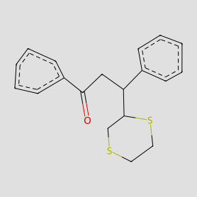 O=C(CC(c1ccccc1)C1CSCCS1)c1ccccc1